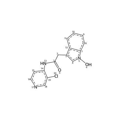 O=C(Cc1cn(O)c2ccccc12)Nc1ccncc1Cl